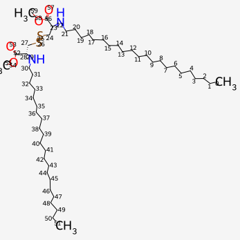 CCCCCCCCCCCCCCCCCCCCCCNC(CSSC[C@H](NCCCCCCCCCCCCCCCCCCCCCC)C(=O)OC)C(=O)OC